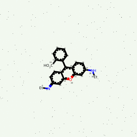 CCN=c1ccc2c(-c3ccccc3C(=O)O)c3ccc(NCC)cc3oc-2c1